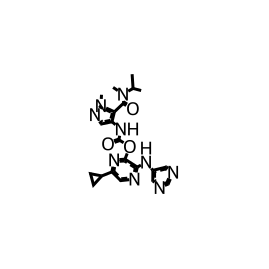 CC(C)N(C)C(=O)c1c(NC(=O)Oc2nc(C3CC3)cnc2Nc2cncnc2)cnn1C